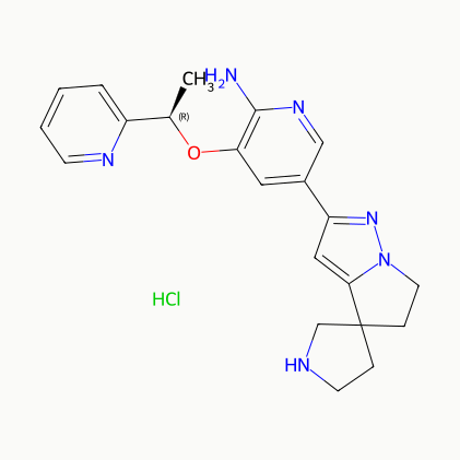 C[C@@H](Oc1cc(-c2cc3n(n2)CCC32CCNC2)cnc1N)c1ccccn1.Cl